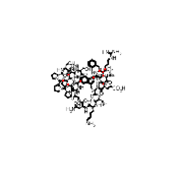 CC[C@H](C)[C@H](NC(=O)[C@H](Cc1ccccc1)NC(=O)[C@H](CC(C)C)NC(=O)[C@@H](N)CCCNC(=N)N)C(=O)N[C@@H](CCC(=O)O)C(=O)N[C@@H](Cc1c[nH]c2ccccc12)C(=O)N[C@@H](CC(C)C)C(=O)N[C@@H](CCCCN)C(=O)N[C@@H](CC(N)=O)C(=O)NCC(=O)NCC(=O)N1CCC[C@H]1C(=O)N[C@@H](CO)C(=O)N[C@@H](CO)C(=O)NCC(=O)N[C@@H](C)C(=O)N1CCC[C@H]1C(=O)N1CCC[C@H]1C(=O)N1CCC[C@H]1C(=O)N[C@@H](CO)C(N)=O